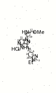 CCn1c(C)nc2cc(C#Cc3nn([C@@H]4CN[C@@H](COC)C4)c4ccnc(N)c34)ccc21.Cl